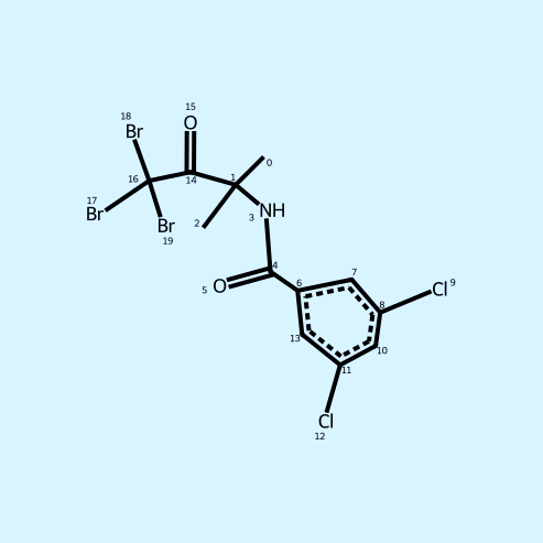 CC(C)(NC(=O)c1cc(Cl)cc(Cl)c1)C(=O)C(Br)(Br)Br